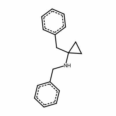 c1ccc(CNC2(Cc3ccccc3)CC2)cc1